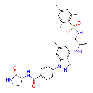 Cc1cc(C)c(S(=O)(=O)NC[C@@H](C)Nc2cc(C)cc3c2cnn3-c2ccc(C(=O)NC3CCNC3=O)cc2)c(C)c1